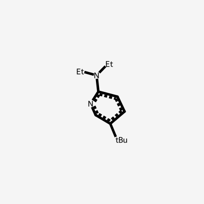 CCN(CC)c1ccc(C(C)(C)C)cn1